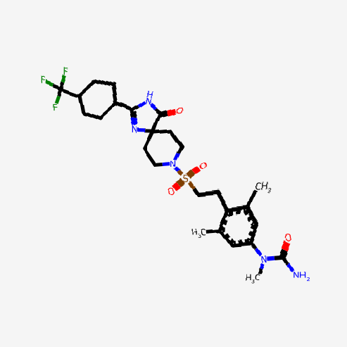 Cc1cc(N(C)C(N)=O)cc(C)c1CCS(=O)(=O)N1CCC2(CC1)N=C(C1CCC(C(F)(F)F)CC1)NC2=O